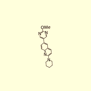 COc1ncc(-c2ccc3nc(N4CCCCC4)ccc3c2)cn1